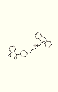 COc1ccccc1C(=O)C1CCN(CCCNCC23CC(c4ccccc42)c2ccccc23)CC1